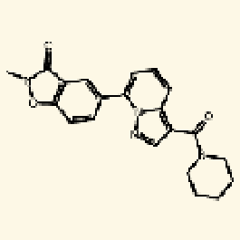 Cn1oc2ccc(-c3cccc4c(C(=O)N5CCCCC5)cnn34)cc2c1=O